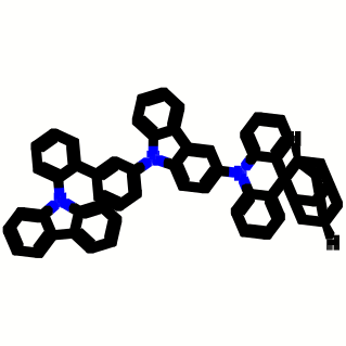 c1cc(-c2ccccc2-n2c3ccccc3c3ccccc32)cc(-n2c3ccccc3c3cc(N4c5ccccc5C5(c6ccccc64)C4CC6C[C@H](C4)C[C@H]5C6)ccc32)c1